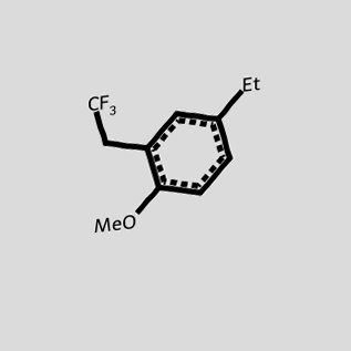 CCc1ccc(OC)c(CC(F)(F)F)c1